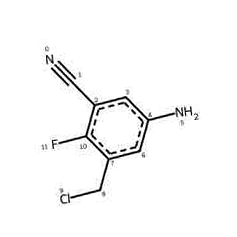 N#Cc1cc(N)cc(CCl)c1F